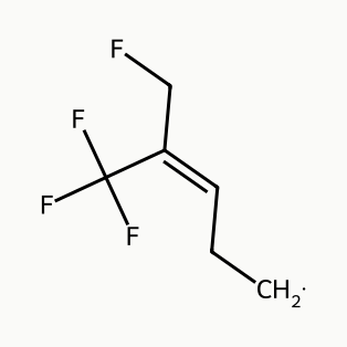 [CH2]CC=C(CF)C(F)(F)F